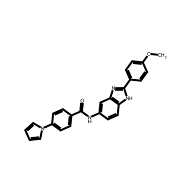 COc1ccc(-c2nc3cc(NC(=O)c4ccc(-n5cccc5)cc4)ccc3[nH]2)cc1